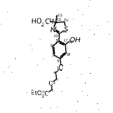 CCOC(=O)COCCOc1ccc(C2=N[C@@](C)(C(=O)O)CS2)c(O)c1